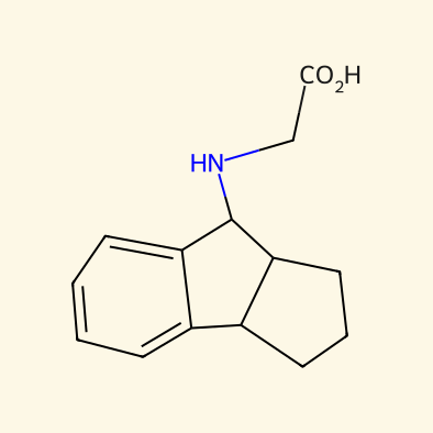 O=C(O)CNC1c2ccccc2C2CCCC21